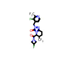 O=C(C1C(C(F)(F)F)CCc2nn(Cc3ccnc(C(F)(F)F)c3F)c(=O)n21)N1CC(F)C1